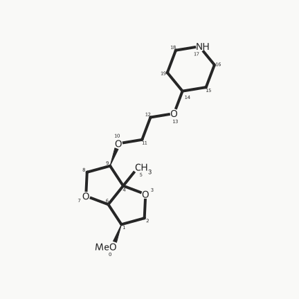 CO[C@@H]1COC2(C)C1OC[C@H]2OCCOC1CCNCC1